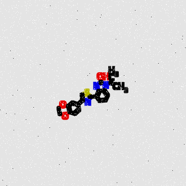 CC(C)n1c(O)nc2c(-c3nc(-c4ccc5c(c4)OCCO5)cs3)cccc21